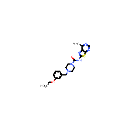 COc1ncnc2sc(NC(=O)N3CCN(Cc4cccc(OCC(=O)O)c4)CC3)nc12